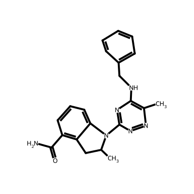 Cc1nnc(N2c3cccc(C(N)=O)c3CC2C)nc1NCc1ccccc1